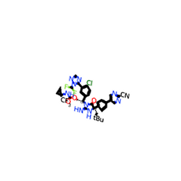 CC(C)(C)C[C@]1(c2ccc(-c3cnc(C#N)nc3)cc2)NC(=N)N([C@H](COC(=O)NC2(C(F)(F)F)CC2)c2ccc(Cl)c(-c3ncnn3C(F)F)c2)C1=O